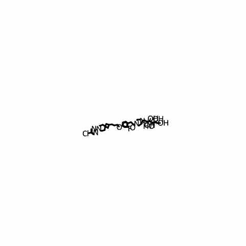 O=C(Cc1ccc(OCCCC2CC3(CCN(c4ncc(Cl)cn4)CC3)C2)cc1F)N1CCN(C[C@H](O)[C@@H](O)[C@H](O)[C@H](O)CO)CC1